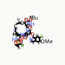 COc1cc2ccnc(O[C@@H]3C[C@H]4C(=O)N[C@]5(C(=O)NS(=O)(=O)C6(CF)CC6)C[C@H]5/C=C\CC[C@@H](C)C[C@@H](C)[C@H](NC(=O)OC(C)(C)C)C(=O)N4C3)c2cc1F